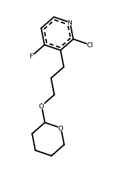 Fc1ccnc(Cl)c1CCCOC1CCCCO1